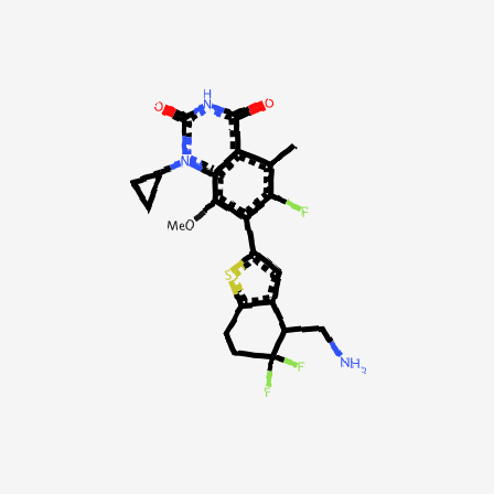 COc1c(-c2cc3c(s2)CCC(F)(F)C3CN)c(F)c(C)c2c(=O)[nH]c(=O)n(C3CC3)c12